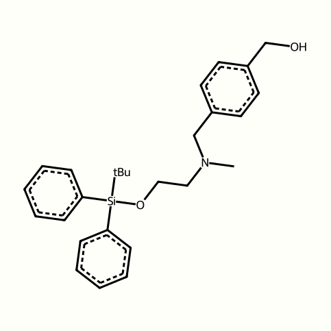 CN(CCO[Si](c1ccccc1)(c1ccccc1)C(C)(C)C)Cc1ccc(CO)cc1